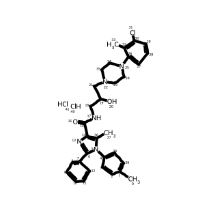 Cc1ccc(-n2c(-c3ccccc3)nc(C(=O)NCC(O)CN3CCN(c4cccc(Cl)c4C)CC3)c2C)cc1.Cl.Cl